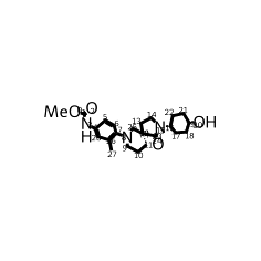 COC(=O)Nc1ccc(N2CCC[C@@]3(CCN([C@H]4CC[C@H](O)CC4)C3=O)C2)c(C)c1